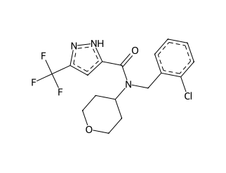 O=C(c1cc(C(F)(F)F)n[nH]1)N(Cc1ccccc1Cl)C1CCOCC1